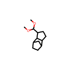 COC(OC)C1CCC2C3CCC(C3)C21